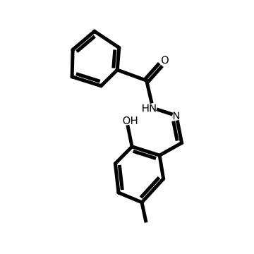 Cc1ccc(O)c(/C=N\NC(=O)c2ccccc2)c1